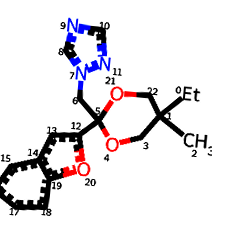 CCC1(C)COC(Cn2cncn2)(c2cc3ccccc3o2)OC1